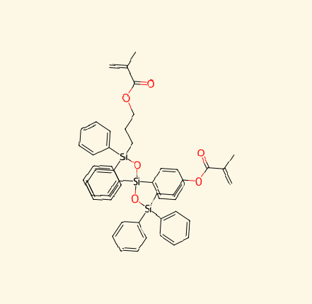 C=C(C)C(=O)OCCC[Si](O[Si](O[Si](CCCOC(=O)C(=C)C)(c1ccccc1)c1ccccc1)(c1ccccc1)c1ccccc1)(c1ccccc1)c1ccccc1